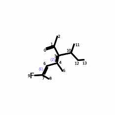 C=C(C)/C(=C(C)\C=C(/C)F)C(C)CC